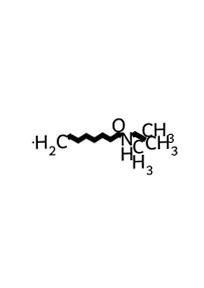 [CH2]CCCCCCC(=O)NCC(C)(C)C